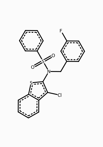 O=S(=O)(c1ccccc1)N(Cc1cccc(F)c1)c1sc2ccccc2c1Cl